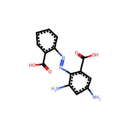 Nc1cc(N)c(N=Nc2ccccc2C(=O)O)c(C(=O)O)c1